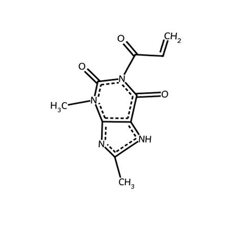 C=CC(=O)n1c(=O)c2[nH]c(C)nc2n(C)c1=O